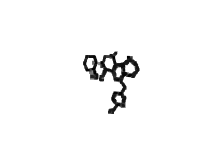 CN1CN([C@H]2CCCC[C@@H]2O)C(=O)c2cc(Cc3ccc(Cl)nc3)c3cccnc3c21